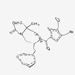 CC(C)(C)N(C[C@@H](Cc1ccccc1)NC(=O)c1cc(Br)c(Cl)s1)C(=O)O